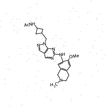 COc1cc2c(cc1Nc1ncc3cnn(CC4CC(NC(C)=O)C4)c3n1)CN(C)CC2